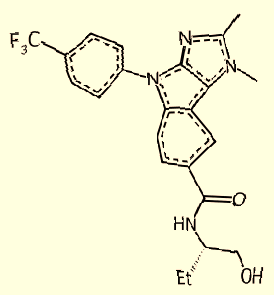 CC[C@@H](CO)NC(=O)c1ccc2c(c1)c1c(nc(C)n1C)n2-c1ccc(C(F)(F)F)cc1